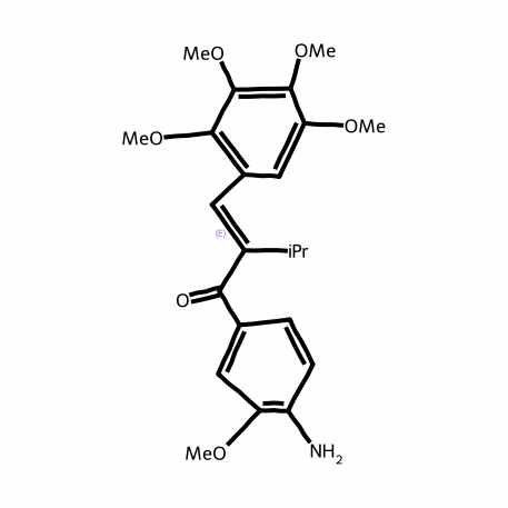 COc1cc(C(=O)/C(=C/c2cc(OC)c(OC)c(OC)c2OC)C(C)C)ccc1N